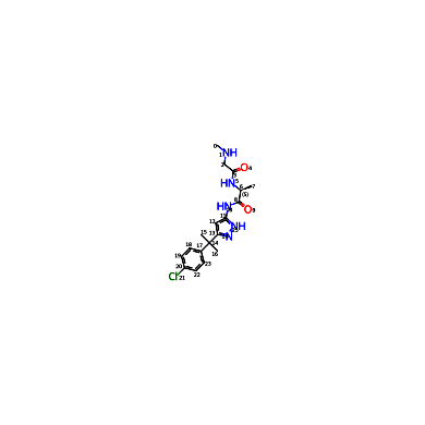 CNCC(=O)N[C@@H](C)C(=O)Nc1cc(C(C)(C)c2ccc(Cl)cc2)n[nH]1